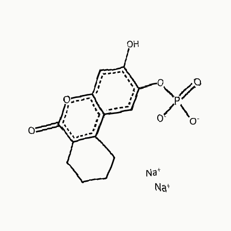 O=c1oc2cc(O)c(OP(=O)([O-])[O-])cc2c2c1CCCC2.[Na+].[Na+]